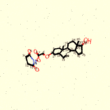 CC12CCC(OCC(=O)ON3C(=O)CCC3=O)C=C1CCC1C2CCC2(C)C(O)CCC12